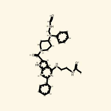 CC(=O)NCCNc1nc(-c2ccccc2)nc2[nH]c(C(=O)N3CCC(N(CNC=O)c4ccccc4)CC3)cc12